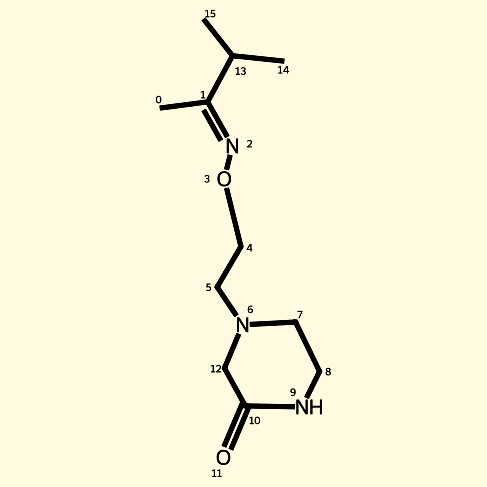 C/C(=N\OCCN1CCNC(=O)C1)C(C)C